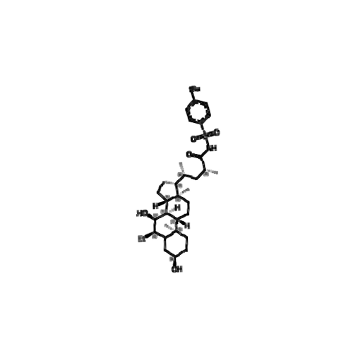 CC[C@@H]1C2C[C@H](O)CC[C@]2(C)[C@H]2CC[C@]3(C)[C@@H]([C@H](C)C[C@@H](C)C(=O)NS(=O)(=O)c4ccc(C(C)(C)C)cc4)CC[C@H]3[C@@H]2[C@@H]1O